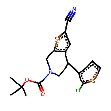 CC(C)(C)OC(=O)N1Cc2sc(C#N)cc2C(c2ccsc2Cl)C1